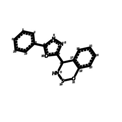 c1ccc(-c2nnc(C3NSOc4ccccc43)o2)cc1